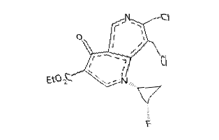 CCOC(=O)c1cn([C@@H]2C[C@@H]2F)c2c(Cl)c(Cl)ncc2c1=O